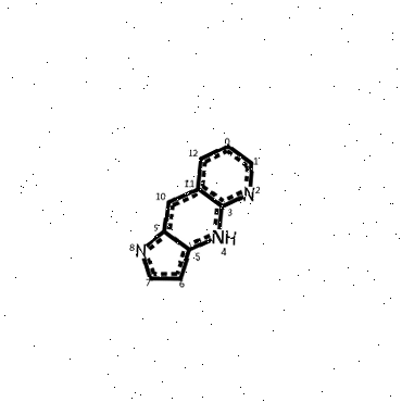 c1cnc2[nH]c3ccnc-3cc2c1